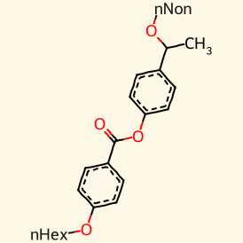 CCCCCCCCCOC(C)c1ccc(OC(=O)c2ccc(OCCCCCC)cc2)cc1